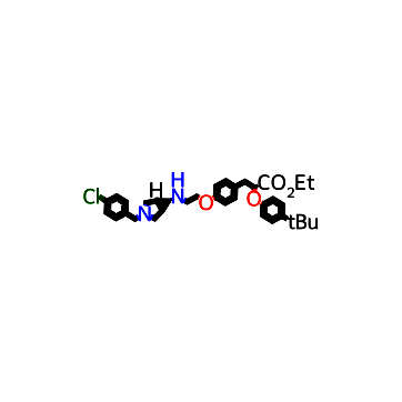 CCOC(=O)[C@H](Cc1ccc(OCCN[C@H]2C3CN(Cc4ccc(Cl)cc4)C[C@@H]32)cc1)Oc1ccc(C(C)(C)C)cc1